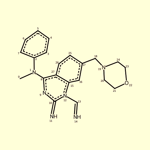 CN(c1ccccc1)c1nc(=N)n(C=N)c2cc(CN3CCOCC3)ccc12